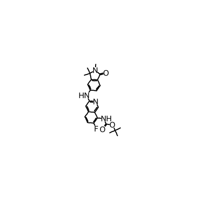 CN1C(=O)c2ccc(Nc3cc4ccc(F)c(NC(=O)OC(C)(C)C)c4cn3)cc2C1(C)C